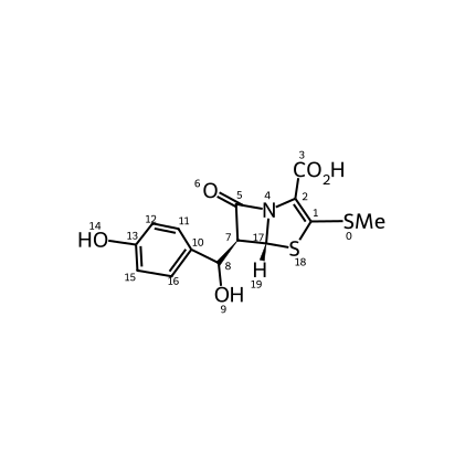 CSC1=C(C(=O)O)N2C(=O)[C@H](C(O)c3ccc(O)cc3)[C@H]2S1